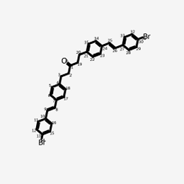 O=C(CCc1ccc(C=Cc2ccc(Br)cc2)cc1)CCc1ccc(C=Cc2ccc(Br)cc2)cc1